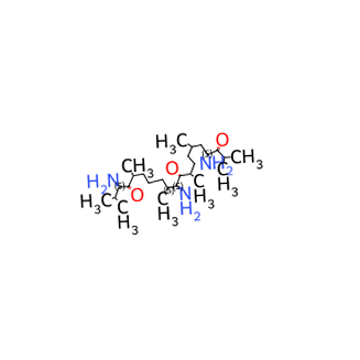 CC(CCC(C)C(=O)[C@@H](N)[C@@H](C)CCCC(C)C(=O)[C@@H](N)C(C)C)C[C@H](N)C(=O)C(C)C